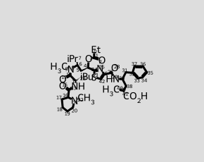 CCC(=O)O[C@H](C[C@H](C(C)C)N(C)C(=O)[C@@H](NC(=O)C1CCCCN1C)[C@@H](C)CC)c1nc(C(=O)NC(Cc2ccccc2)CC(C)C(=O)O)cs1